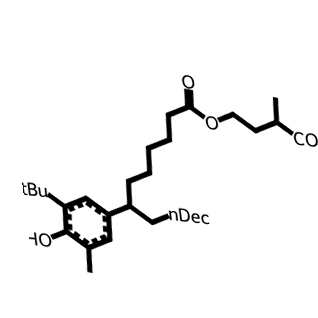 CCCCCCCCCCCC(CCCCCC(=O)OCCC(C)C(=O)O)c1cc(C)c(O)c(C(C)(C)C)c1